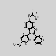 COc1ccc(-n2c(-c3ccccn3)nc3cc(OC(C)C)ccc32)cn1